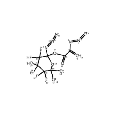 C=C(N=[N+]=[N-])C(=O)OC1(N=[N+]=[N-])OC(CC)(C(F)(F)F)C(F)(F)C(O)(CC)C1(F)F